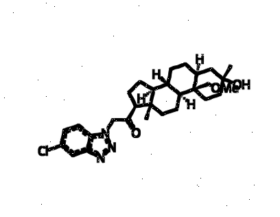 COC[C@]12CC[C@@](C)(O)C[C@@H]1CC[C@H]1[C@@H]3CC[C@H](C(=O)Cn4nnc5cc(Cl)ccc54)[C@@]3(C)CC[C@@H]12